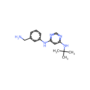 CC(C)(C)Nc1cc(Nc2cccc(CN)c2)ncn1